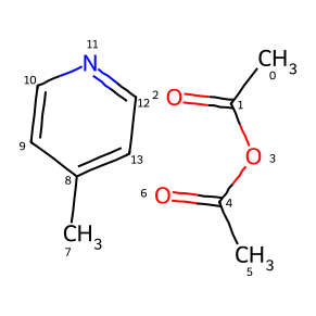 CC(=O)OC(C)=O.Cc1ccncc1